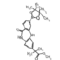 COC(=O)C(C)(C)c1ccc2c(c1)Nc1cc(B3OC(C)(C)C(C)(C)O3)ccc1C(=O)N2